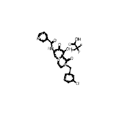 O=C(Nc1cn2ccn(Cc3cccc(Cl)c3)c(=O)c2c(O)c1=O)c1cccnc1.O=C(O)C(F)(F)F